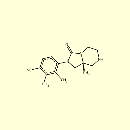 Cc1c(C#N)ccc(N2C[C@@]3(C)CNCCN3C2=O)c1C